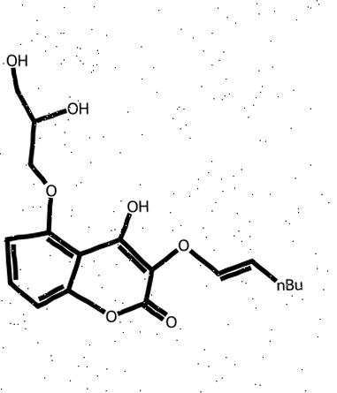 CCCCC=COc1c(O)c2c(OCC(O)CO)cccc2oc1=O